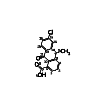 CCc1cccc(C(=O)O)c1C(=O)c1ccc(Cl)cc1